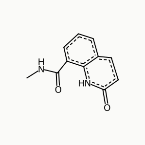 CNC(=O)c1cccc2ccc(=O)[nH]c12